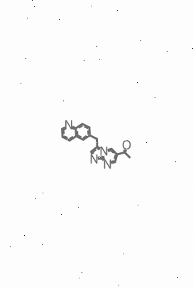 CC(=O)c1cnc2ncc(Cc3ccc4ncccc4c3)n2c1